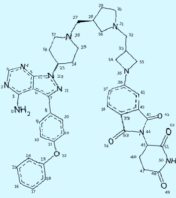 Nc1ncnc2c1c(-c1ccc(Oc3ccccc3)cc1)nn2C1CCN(C[C@H]2CCN(CC3CN(c4ccc5c(c4)C(=O)N(C4CCC(=O)NC4=O)C5=O)C3)C2)CC1